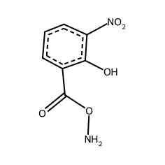 NOC(=O)c1cccc([N+](=O)[O-])c1O